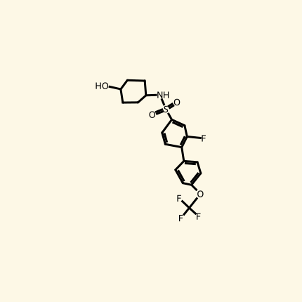 O=S(=O)(NC1CCC(O)CC1)c1ccc(-c2ccc(OC(F)(F)F)cc2)c(F)c1